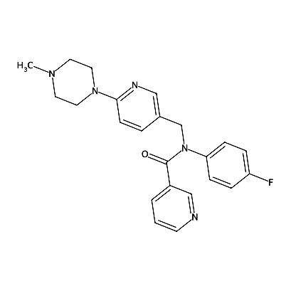 CN1CCN(c2ccc(CN(C(=O)c3cccnc3)c3ccc(F)cc3)cn2)CC1